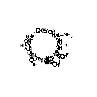 CC1NC(=O)[C@H](Cc2c[nH]c3ccc(F)cc23)NC(=O)[C@H](Cc2c[nH]c3ccc(F)cc23)NC(=O)[C@@H](C)NC(=O)[C@H](CCCCN)NC(=O)CCSCc2cccc(c2)CSC[C@@H](C(N)=O)NC(=O)[C@]2(C)CCCN2C(=O)[C@H](Cc2ccc(O)cc2)NC(=O)c2cnc1s2